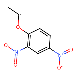 C[CH]Oc1ccc([N+](=O)[O-])cc1[N+](=O)[O-]